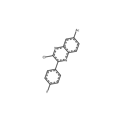 CC(=O)c1ccc2nc(-c3ccc(F)cc3)c(Cl)nc2c1